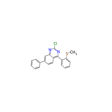 CSc1ccccc1-c1nc(Cl)nc2cc(-c3ccccc3)ccc12